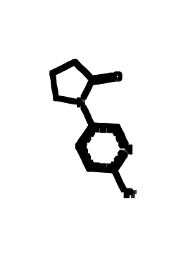 CC(C)c1ccc(N2CCCC2=O)cn1